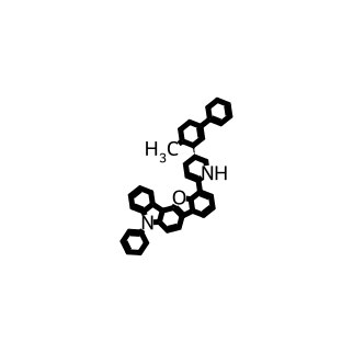 CC1CCC(C2=CC=CCC2)=CC1[C@H]1CC=C(C2=CC=CC3C4=C(OC23)C2C3CC=CC=C3N(C3=CC=CCC3)C2C=C4)NC1